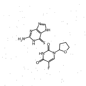 Nc1nc2nc[nH]c2c(=S)[nH]1.O=c1[nH]c(=O)n(C2CCCO2)cc1F